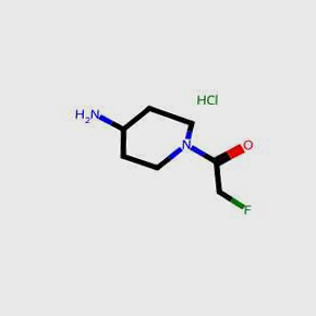 Cl.NC1CCN(C(=O)CF)CC1